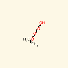 CC=C(C)OCCOCCOCCO